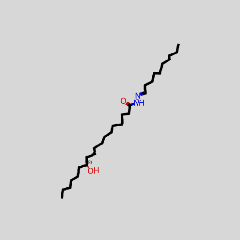 CCCCCCCCCC=NNC(=O)CCCCCCCCCC[C@H](O)CCCCCC